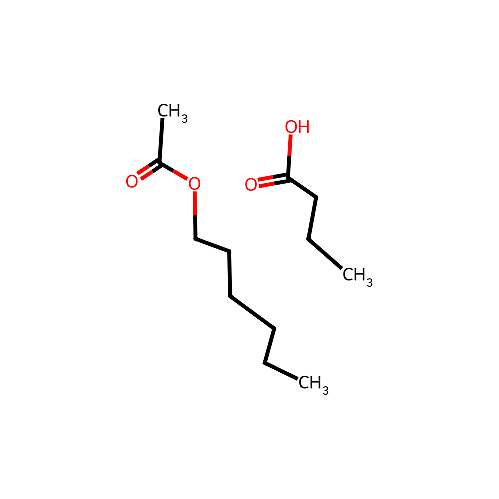 CCCC(=O)O.CCCCCCOC(C)=O